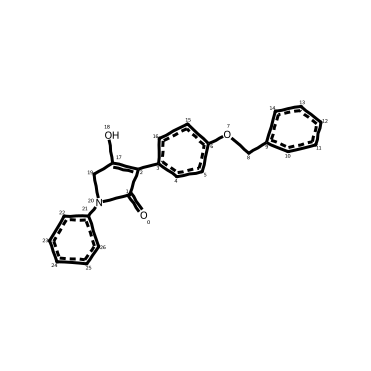 O=C1C(c2ccc(OCc3ccccc3)cc2)=C(O)CN1c1ccccc1